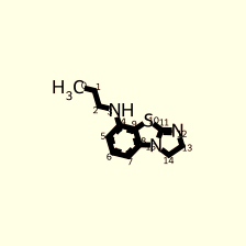 CCCNc1cccc2c1SC1=NCCN12